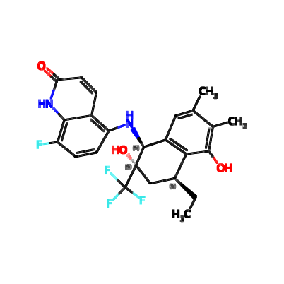 CC[C@H]1C[C@@](O)(C(F)(F)F)[C@@H](Nc2ccc(F)c3[nH]c(=O)ccc23)c2cc(C)c(C)c(O)c21